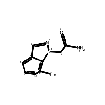 NC(=O)Cn1ncc2cccc(F)c21